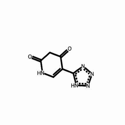 O=C1CC(=O)C(c2nnn[nH]2)=CN1